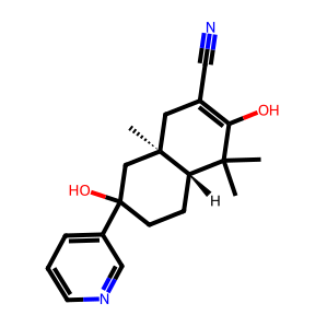 CC1(C)C(O)=C(C#N)C[C@]2(C)CC(O)(c3cccnc3)CC[C@@H]12